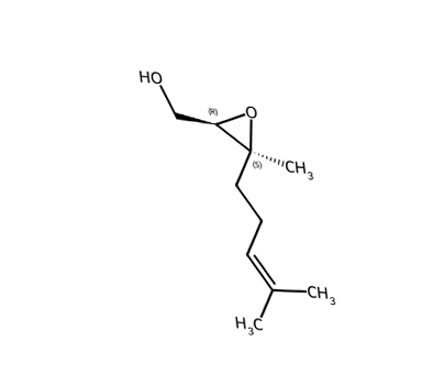 CC(C)=CCC[C@]1(C)O[C@@H]1CO